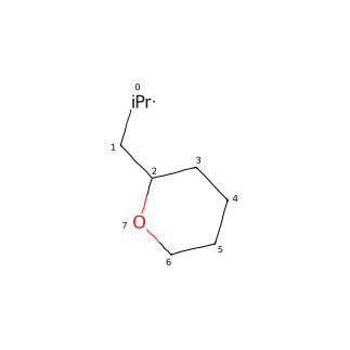 C[C](C)CC1CCCCO1